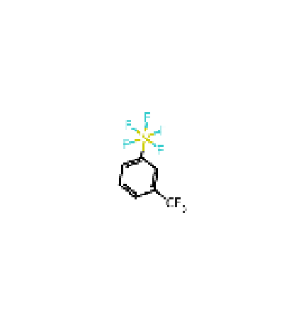 FC(F)(F)c1cccc(S(F)(F)(F)(F)F)c1